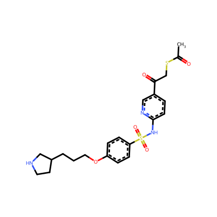 CC(=O)SCC(=O)c1ccc(NS(=O)(=O)c2ccc(OCCCC3CCNC3)cc2)nc1